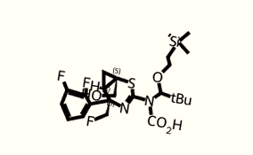 CC(C)(C)C(OCC[Si](C)(C)C)N(C(=O)O)C1=N[C@](CF)(c2cccc(F)c2F)[C@@H]2C[C@]2(CO)S1